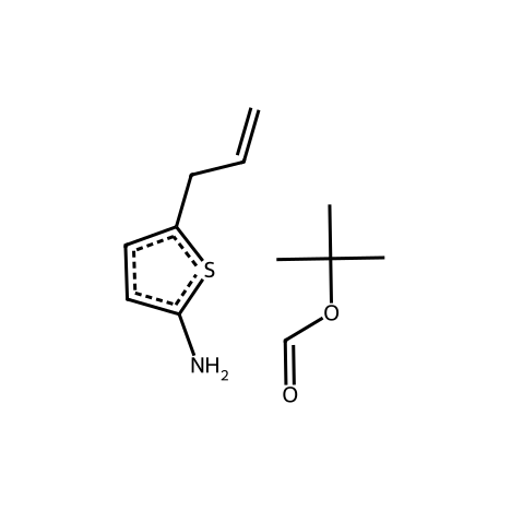 C=CCc1ccc(N)s1.CC(C)(C)OC=O